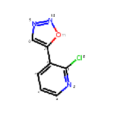 Clc1ncccc1-c1cnno1